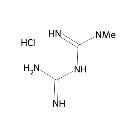 CNC(=N)NC(=N)N.Cl